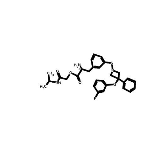 CC(C)NC(=O)COC(=O)[C@@H](N)Cc1cccc(SN2CC(Oc3cccc(F)c3)(c3ccccc3)C2)c1